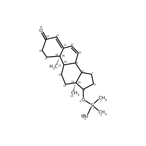 CC(C)(C)[Si](C)(C)OC1CCC2C3C=CC4=CC(=O)CC[C@]4(C)C3CC[C@]12C